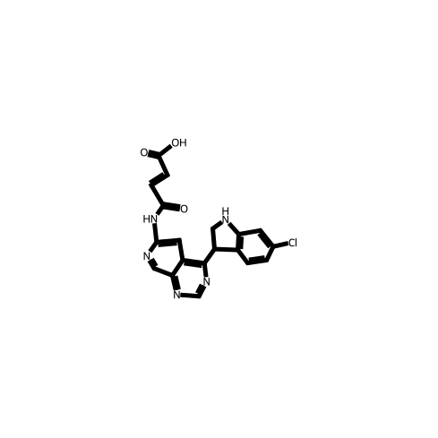 O=C(O)C=CC(=O)Nc1cc2c(C3CNc4cc(Cl)ccc43)ncnc2cn1